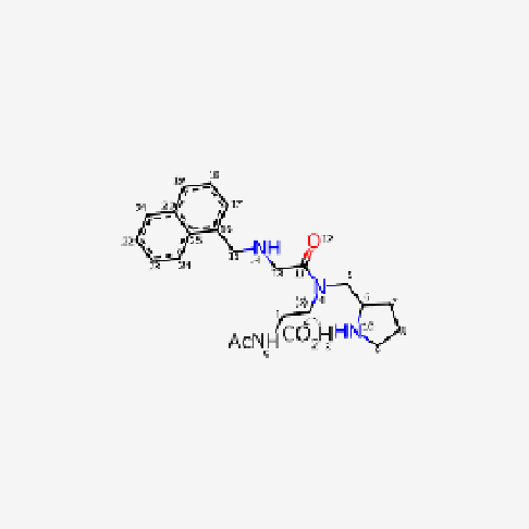 CC(=O)NC[C@@H](C(=O)O)N(CC1CCCN1)C(=O)CNCc1cccc2ccccc12